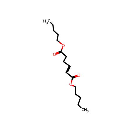 CCCCCOC(=O)C=CCCC(=O)OCCCCC